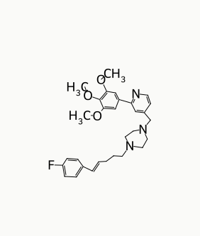 COc1cc(-c2cc(CN3CCN(CCCC=Cc4ccc(F)cc4)CC3)ccn2)cc(OC)c1OC